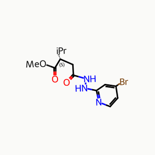 COC(=O)[C@@H](CC(=O)NNc1cc(Br)ccn1)C(C)C